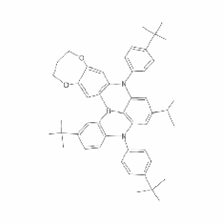 CC(C)c1cc2c3c(c1)N(c1ccc(C(C)(C)C)cc1)c1cc4c(cc1B3c1cc(C(C)(C)C)ccc1N2c1ccc(C(C)(C)C)cc1)OCCCO4